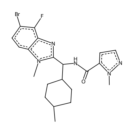 CC1CCC(C(NC(=O)c2ccnn2C)c2nc3c(F)c(Br)ccc3n2C)CC1